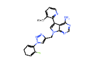 COc1cccnc1-c1cn(Cc2cn(C3=CCCC=C3F)nn2)c2ncnc(N)c12